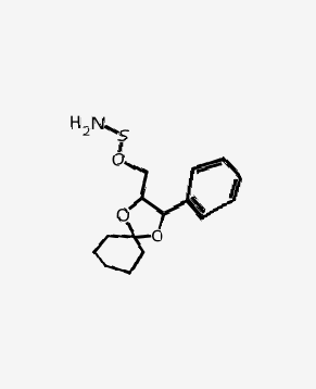 NSOCC1OC2(CCCCC2)OC1c1ccccc1